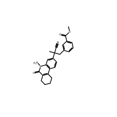 COC(=O)c1cccc(CC(C)(C#N)c2ccc3c4c(c(=O)n(N)c3c2)CCCC4)c1